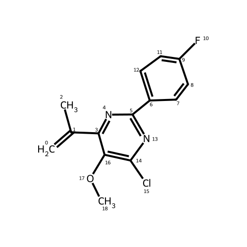 C=C(C)c1nc(-c2ccc(F)cc2)nc(Cl)c1OC